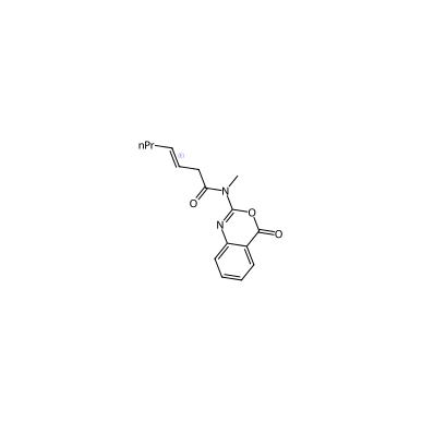 CCC/C=C/CC(=O)N(C)c1nc2ccccc2c(=O)o1